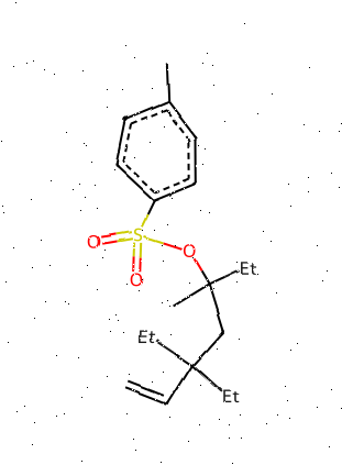 C=CC(CC)(CC)CC(C)(CC)OS(=O)(=O)c1ccc(C)cc1